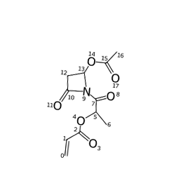 C=CC(=O)OC(C)C(=O)N1C(=O)CC1OC(C)=O